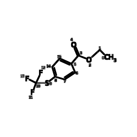 CCOC(=O)c1ccc(SC(F)(F)F)cc1